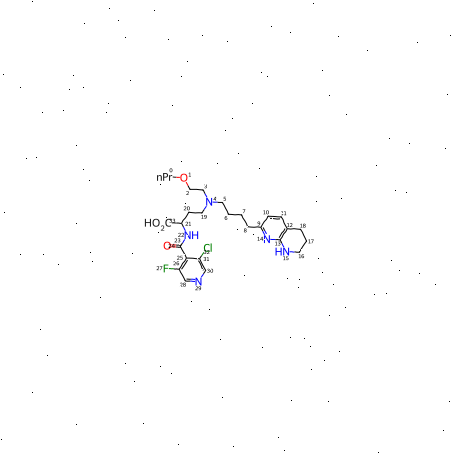 CCCOCCN(CCCCc1ccc2c(n1)NCCC2)CCC(NC(=O)c1c(F)cncc1Cl)C(=O)O